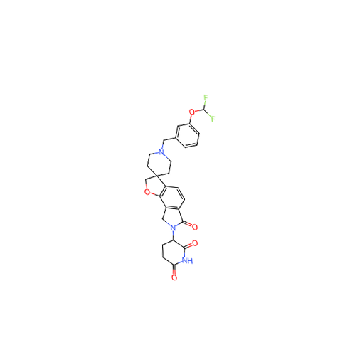 O=C1CCC(N2Cc3c(ccc4c3OCC43CCN(Cc4cccc(OC(F)F)c4)CC3)C2=O)C(=O)N1